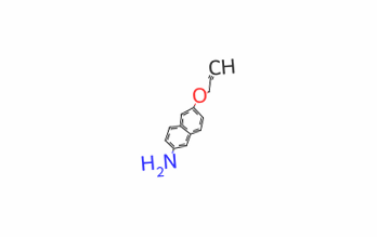 C#CCOc1ccc2cc(N)ccc2c1